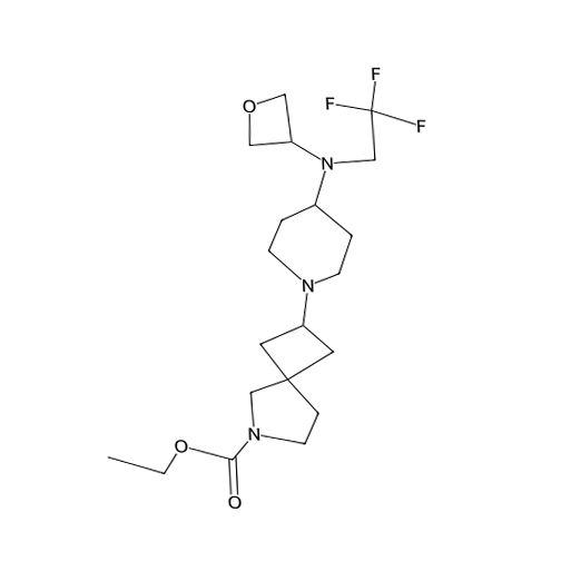 CCOC(=O)N1CCC2(CC(N3CCC(N(CC(F)(F)F)C4COC4)CC3)C2)C1